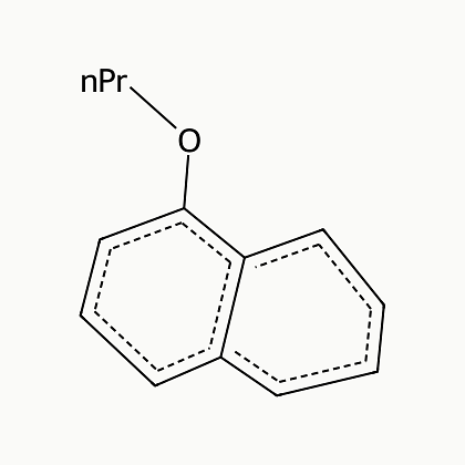 CCCOc1cccc2ccccc12